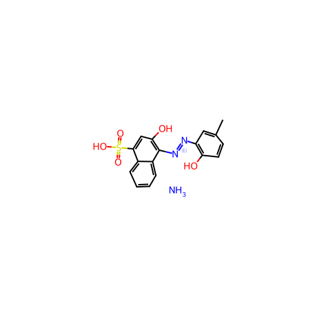 Cc1ccc(O)c(/N=N/c2c(O)cc(S(=O)(=O)O)c3ccccc23)c1.N